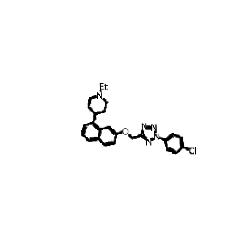 CCN1CCC(c2cccc3ccc(OCc4nnn(-c5ccc(Cl)cc5)n4)cc23)CC1